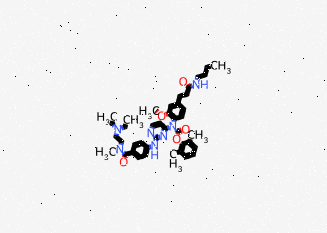 CCCCNC(=O)CCc1ccc(N(C(=O)Oc2c(C)cccc2C)c2ccnc(Nc3ccc(C(=O)N(C)CCN(CC)CC)cc3)n2)c(OC)c1